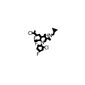 C#CC1/C(=C\C(F)=C(/C)Cl)C(=C)C(C(=C)NCC2CC2)=CN1c1c(F)cc(F)cc1Cl